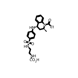 CCC(=O)N1c2ccccc2[C@H](Nc2ccc(S(=O)(=O)NCCNC(=O)O)cc2)C[C@@H]1C